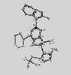 CCc1nc2ccccc2n1-c1nc(N2CCOCC2)c2nc(-c3c(C)cnn3CC(C)(C)O)n(C)c2n1